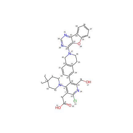 CC1(C)CCN(c2c(CC(=O)O)c(Cl)nc(CO)c2-c2ccc3c(c2)CCN(c2ncnc4c2oc2ccccc24)C3)CC1